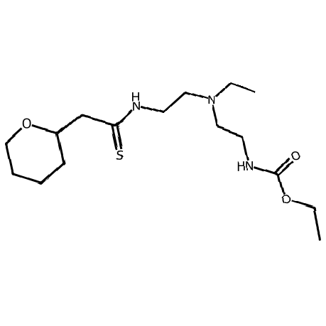 CCOC(=O)NCCN(CC)CCNC(=S)CC1CCCCO1